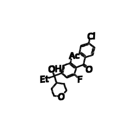 CCC(O)(c1cc(F)c(C(=O)c2ccc(Cl)cc2)c(C(C)=O)c1)C1CCOCC1